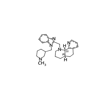 CN1CCCC(Cn2c(CN3CCC[C@H]4CCc5cccnc5[C@H]43)nc3ccccc32)C1